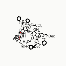 C=CCO[C@H]1O[C@H](CO[C@@H]2O[C@H](COC(=O)OCC(Cl)(Cl)Cl)[C@@H](OP(=O)(Oc3ccccc3)Oc3ccccc3)[C@H](OC(=O)C[C@@H](CCCCCCCCCCC)OC(=O)CCCCCCCCCCCCC)[C@H]2NC(=O)OCC(Cl)(Cl)Cl)[C@@H](O)[C@H](OC(=O)C[C@@H](CCCCCCCCCCC)OCc2ccccc2)[C@H]1NC(=O)C[C@@H](CCCCCCCCCCC)OCc1ccccc1